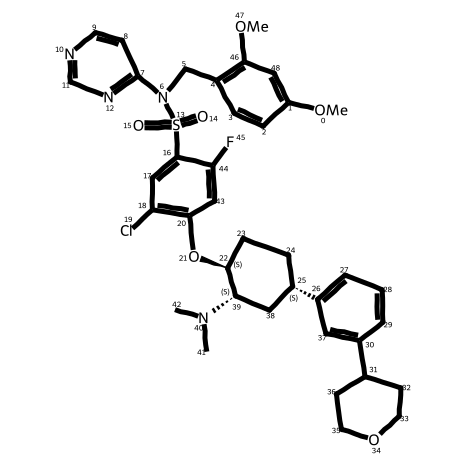 COc1ccc(CN(c2ccncn2)S(=O)(=O)c2cc(Cl)c(O[C@H]3CC[C@H](c4cccc(C5CCOCC5)c4)C[C@@H]3N(C)C)cc2F)c(OC)c1